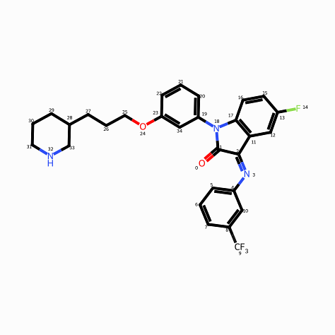 O=C1C(=Nc2cccc(C(F)(F)F)c2)c2cc(F)ccc2N1c1cccc(OCCCC2CCCNC2)c1